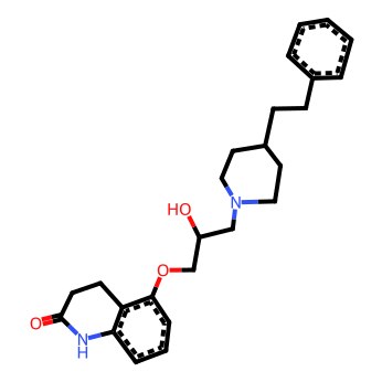 O=C1CCc2c(cccc2OCC(O)CN2CCC(CCc3ccccc3)CC2)N1